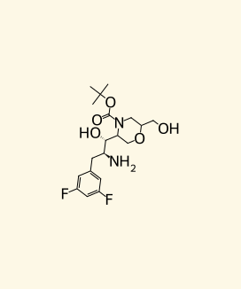 CC(C)(C)OC(=O)N1CC(CO)OCC1[C@@H](O)[C@@H](N)Cc1cc(F)cc(F)c1